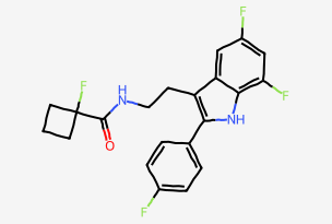 O=C(NCCc1c(-c2ccc(F)cc2)[nH]c2c(F)cc(F)cc12)C1(F)CCC1